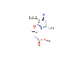 CCOC(=O)c1c(N)nc(SC)nc1OC(C)CNC(=O)OC(C)(C)C